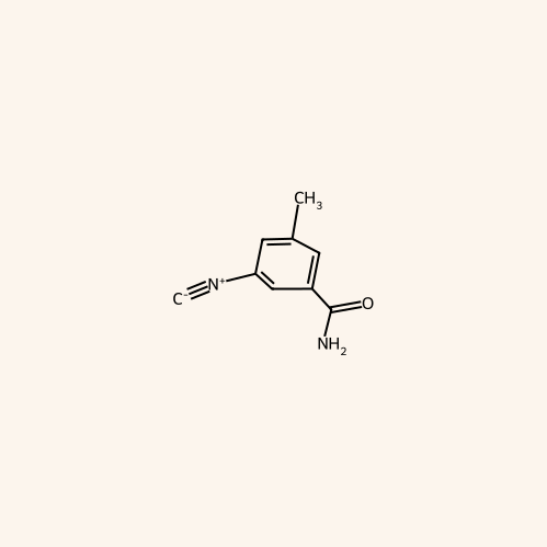 [C-]#[N+]c1cc(C)cc(C(N)=O)c1